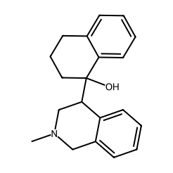 CN1Cc2ccccc2C(C2(O)CCCc3ccccc32)C1